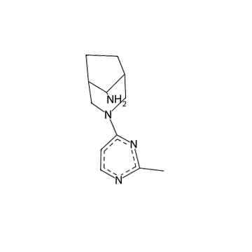 Cc1nccc(N2CC3CCC(C2)C3N)n1